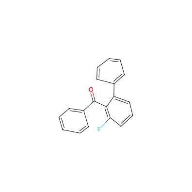 O=C(c1ccccc1)c1c(F)cccc1-c1ccccc1